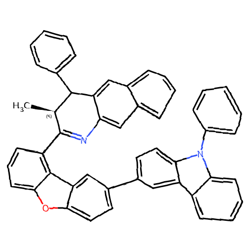 C[C@@H]1C(c2cccc3oc4ccc(-c5ccc6c(c5)c5ccccc5n6-c5ccccc5)cc4c23)=Nc2cc3ccccc3cc2C1c1ccccc1